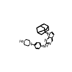 c1cc(N2CCNCC2)ccc1Nc1ncc2ccn(C34CC5CC(CC(C5)C3)C4)c2n1